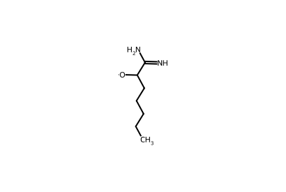 CCCCCC([O])C(=N)N